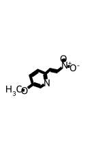 COc1ccc(/C=C/[N+](=O)[O-])nc1